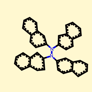 c1ccc2cc(N(c3ccc4ccccc4c3)N(c3ccc4ccccc4c3)c3ccc4ccccc4c3)ccc2c1